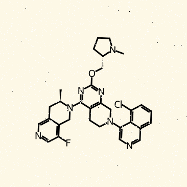 C[C@@H]1Cc2cncc(F)c2CN1c1nc(OC[C@@H]2CCCN2C)nc2c1CCN(c1cncc3cccc(Cl)c13)C2